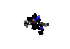 COc1c(C(=O)O)cnn1-c1cccc(-c2cccc(C)c2OCc2ccc3c(c2)CCN(CC2CCC2)C3)n1